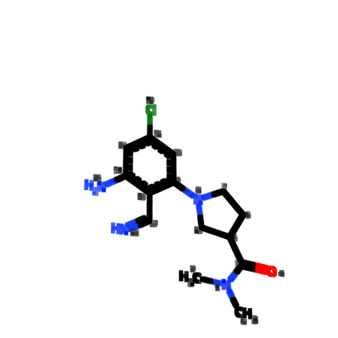 CN(C)C(=O)C1CCN(c2cc(Cl)cc(N)c2C=N)C1